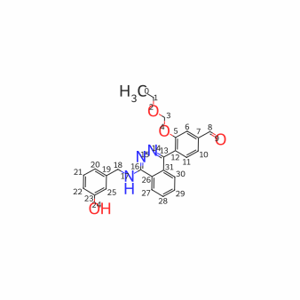 CCOCOc1cc(C=O)ccc1-c1nnc(NCc2cccc(O)c2)c2ccccc12